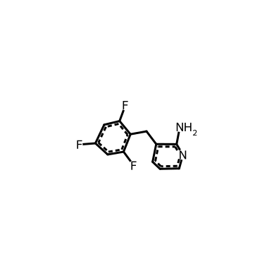 Nc1ncccc1Cc1c(F)cc(F)cc1F